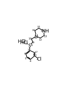 Cl.Cl.Clc1cccc(SCCN2CCNCC2)c1